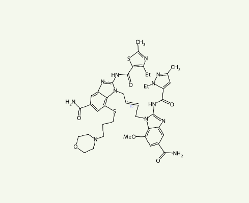 CCc1nc(C)sc1C(=O)Nc1nc2cc(C(N)=O)cc(SCCCN3CCOCC3)c2n1C/C=C/Cn1c(NC(=O)c2cc(C)nn2CC)nc2cc(C(N)=O)cc(OC)c21